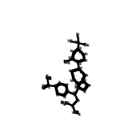 CC(C)C[C@@H](c1ccc(C(=O)O)cc1)n1ccc2cc(-c3ccc(C(F)(F)F)cc3Cl)ccc21